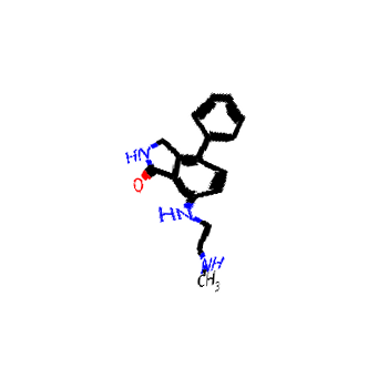 CNCCNc1ccc(-c2ccccc2)c2c1C(=O)NC2